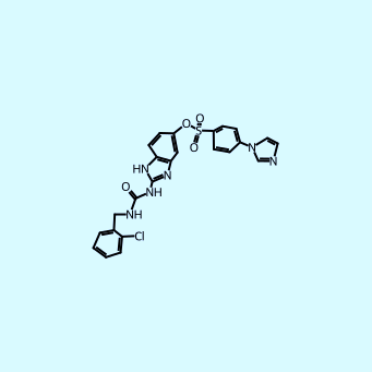 O=C(NCc1ccccc1Cl)Nc1nc2cc(OS(=O)(=O)c3ccc(-n4ccnc4)cc3)ccc2[nH]1